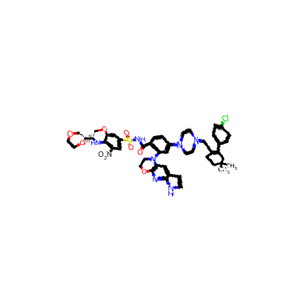 CC1(C)CCC(CN2CCN(c3ccc(C(=O)NS(=O)(=O)c4cc5c(c([N+](=O)[O-])c4)N[C@H]([C@H]4COCCO4)CO5)c(N4CCOc5nc6[nH]ccc6cc54)c3)CC2)=C(c2ccc(Cl)cc2)C1